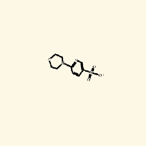 O=S(=O)(O)c1ccc(N2CCOCC2)nc1